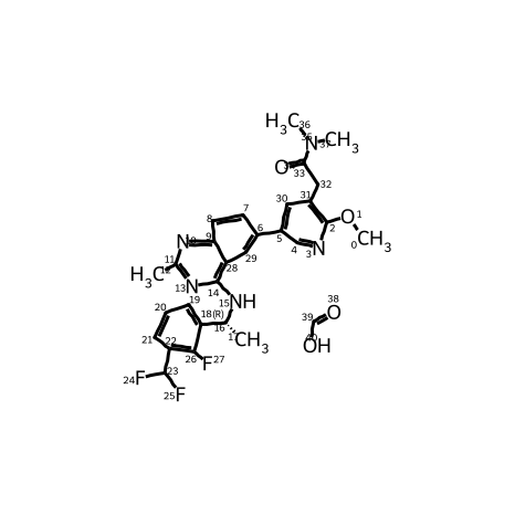 COc1ncc(-c2ccc3nc(C)nc(N[C@H](C)c4cccc(C(F)F)c4F)c3c2)cc1CC(=O)N(C)C.O=CO